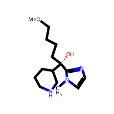 COCCCC[C@@](O)(c1nccn1C)C1CCCNC1